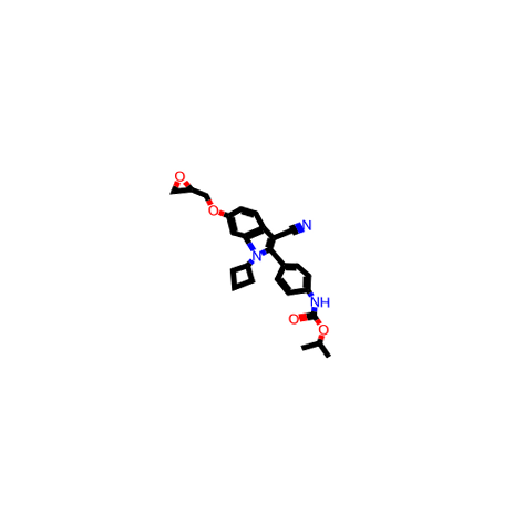 CC(C)OC(=O)Nc1ccc(-c2c(C#N)c3ccc(OCC4CO4)cc3n2C2CCC2)cc1